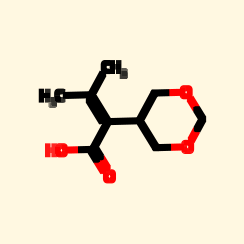 CC(C)=C(C(=O)O)C1COCOC1